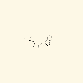 CC(C)C(C)C(O)CC(C)[C@H]1CC[C@H]2C3=CC=C4C[C@@H](O)CC[C@]4(C)[C@H]3CC[C@]12C